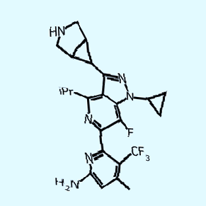 Cc1cc(N)nc(-c2nc(C(C)C)c3c(C4C5CNCC54)nn(C4CC4)c3c2F)c1C(F)(F)F